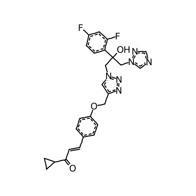 O=C(C=Cc1ccc(OCc2cn(CC(O)(Cn3cncn3)c3ccc(F)cc3F)nn2)cc1)C1CC1